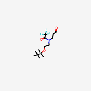 CC(C)(C)[Si](C)(C)OCCN(CCC=O)C(=O)C(F)(F)F